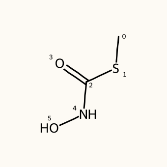 CSC(=O)NO